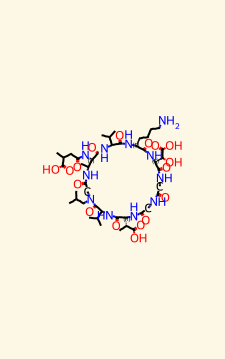 CC(C)CN1CC(=O)NC(C)[C@H](NC(=O)CC(C)C(=O)O)C(=O)NC(C(C)C)C(=O)N[C@@H](CCCCN)C(=O)N[C@@H](C(O)C(=O)O)C(=O)NCC(=O)NCC(=O)N[C@H](C(C)C(=O)O)C(=O)NC(C(C)C)C1=O